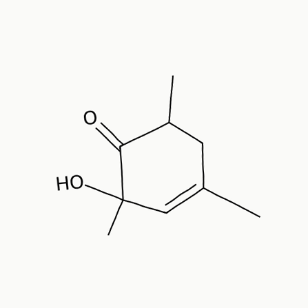 CC1=CC(C)(O)C(=O)C(C)C1